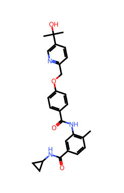 Cc1ccc(C(=O)NC2CC2)cc1NC(=O)c1ccc(OCc2ccc(C(C)(C)O)cn2)cc1